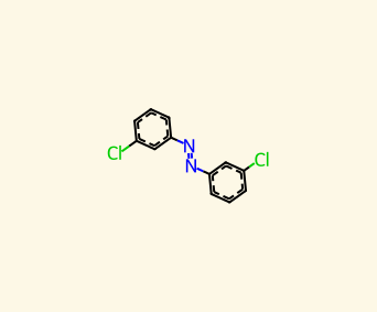 Clc1cccc(N=Nc2cccc(Cl)c2)c1